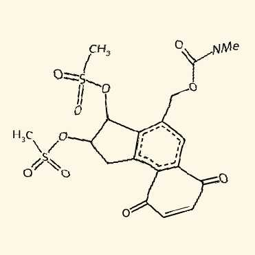 CNC(=O)OCc1cc2c(c3c1C(OS(C)(=O)=O)C(OS(C)(=O)=O)C3)C(=O)C=CC2=O